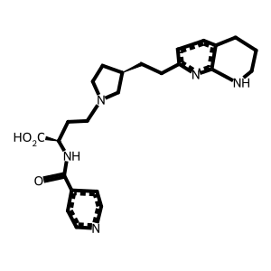 O=C(N[C@H](CCN1CC[C@@H](CCc2ccc3c(n2)NCCC3)C1)C(=O)O)c1ccncc1